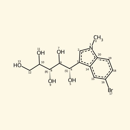 Cn1cc([C@H](O)C(O)[C@H](O)C(O)CO)c2cc(Br)ccc21